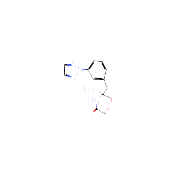 CC1(Cc2cccc(-n3nccn3)c2)COCC(=O)N1